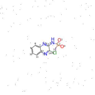 O=S(=O)(I)Nc1nc2ccccc2nc1Cl